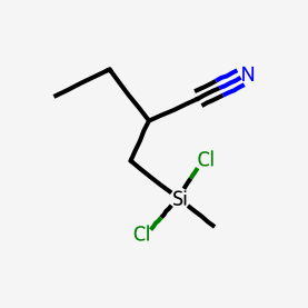 CCC(C#N)C[Si](C)(Cl)Cl